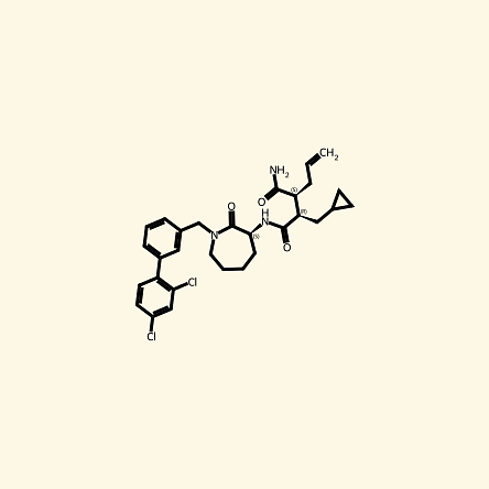 C=CC[C@H](C(N)=O)[C@@H](CC1CC1)C(=O)N[C@H]1CCCCN(Cc2cccc(-c3ccc(Cl)cc3Cl)c2)C1=O